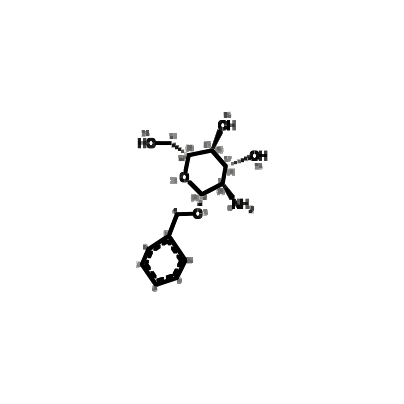 N[C@H]1[C@H](OCc2ccccc2)O[C@H](CO)[C@@H](O)[C@@H]1O